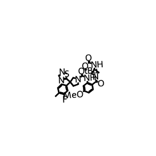 COc1ccc(C(=O)N2CC(NC(=O)OC(C)(C)C)C2)c(NC(=O)N2CCC(c3ccc(C)c(F)c3)(c3ncns3)C2)c1